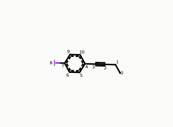 CCC#Cc1ccc(I)cc1